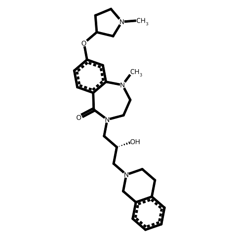 CN1CCC(Oc2ccc3c(c2)N(C)CCN(C[C@H](O)CN2CCc4ccccc4C2)C3=O)C1